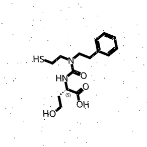 O=C(O)[C@H](CCO)NC(=O)N(CCS)CCc1ccccc1